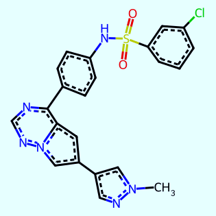 Cn1cc(-c2cc3c(-c4ccc(NS(=O)(=O)c5cccc(Cl)c5)cc4)ncnn3c2)cn1